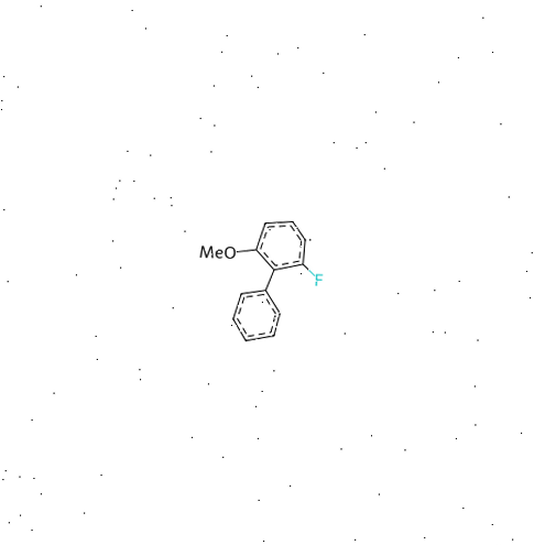 COc1cc[c]c(F)c1-c1ccccc1